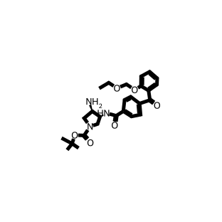 CCOCOc1ccccc1C(=O)c1ccc(C(=O)N[C@@H]2CN(C(=O)OC(C)(C)C)C[C@H]2N)cc1